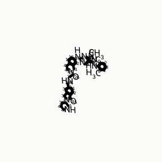 Cc1cccc(C)c1Nc1nn(C)c2nc(Nc3ccc4c(c3)CN(C(=O)CNCc3ccc5c(c3)CN(C3CCCNC3)C5=O)CC4)ncc12